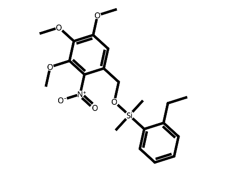 CCc1ccccc1[Si](C)(C)OCc1cc(OC)c(OC)c(OC)c1[N+](=O)[O-]